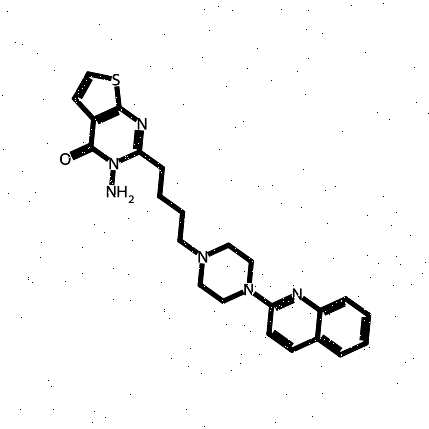 Nn1c(CCCCN2CCN(c3ccc4ccccc4n3)CC2)nc2sccc2c1=O